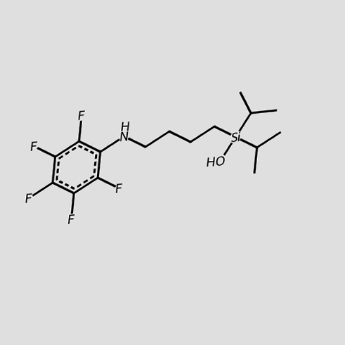 CC(C)[Si](O)(CCCCNc1c(F)c(F)c(F)c(F)c1F)C(C)C